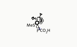 CSc1cc2c(cc1O/C=C(\F)C(=O)O)S(=O)(=O)N(C)[C@H](C1CC1)CN2C12CC(C1)C2